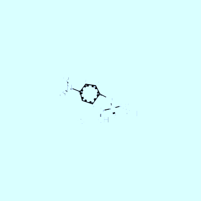 COP(=S)(OC)Oc1ccc([N+](=O)[O-])cc1.[S]